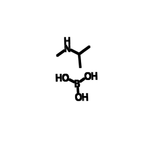 CNC(C)C.OB(O)O